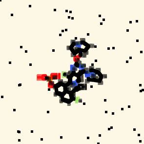 C#Cc1c(F)ccc2cc(OP(O)O)cc(-c3ncc4c(N5CC6CCC(C5)N6)nc(OCC56CCCN5CCC6)nc4c3F)c12